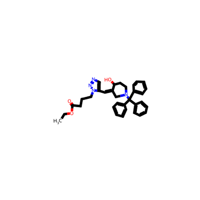 CCOC(=O)CCCn1nncc1C=C1CN(C(c2ccccc2)(c2ccccc2)c2ccccc2)CCC1O